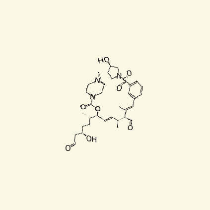 C/C(=C\c1cccc(S(=O)(=O)N2CC[C@@H](O)C2)c1)[C@@H](C=O)[C@@H](C)/C=C/[C@H](OC(=O)N1CCN(C)CC1)[C@@H](C)CC[C@@H](O)CC=O